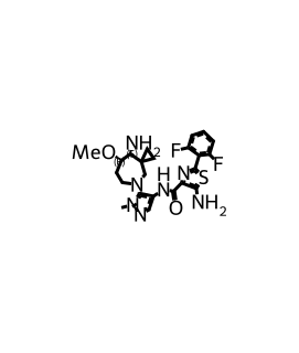 CO[C@@H]1CCN(c2c(NC(=O)c3nc(-c4c(F)cccc4F)sc3N)cnn2C)CC2(CC2)[C@@H]1N